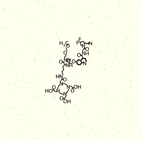 COCCOCCNC(=O)C(CCCCNC(=O)CN1CCN(CC(=O)O)CCN(CC(=O)O)CCN(CC(=O)O)CC1)NC(=O)COc1ccc2nccc(C(=O)NCC(=O)N3CC(F)(F)C[C@H]3C#N)c2c1